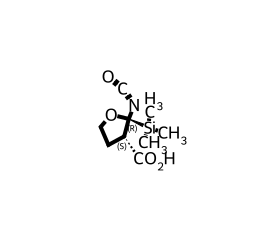 C[Si](C)(C)[C@]1(N=C=O)OCC[C@H]1C(=O)O